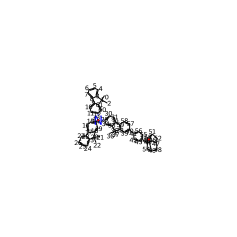 CC1(C)c2ccccc2-c2ccc(N(c3ccc4c(c3)C(C)(C)c3ccccc3-4)c3ccc4c(c3)C(C)(C)c3cc(-c5ccc(C67CC8CC(CC(C8)C6)C7)cc5)ccc3-4)cc21